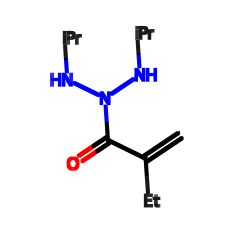 C=C(CC)C(=O)N(NC(C)C)NC(C)C